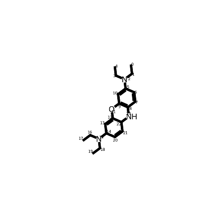 CCN(CC)c1ccc2c(c1)OC1=CC(N(CC)CC)C=CC1N2